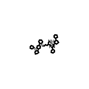 N=C/C(=C\C=C\n1c2ccccc2c2cc3c(cc21)c1ccccc1n3-c1ccccc1)c1nc(-c2ccccc2)nc(-c2cccc(-c3ccccc3)c2)n1